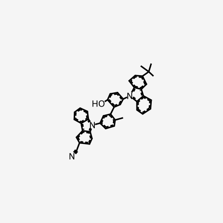 Cc1ccc(-n2c3ccccc3c3cc(C#N)ccc32)cc1-c1cc(-n2c3ccccc3c3cc(C(C)(C)C)ccc32)ccc1O